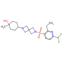 CCc1nc(C(F)F)ccc1S(=O)(=O)N1CC2(CN(C3CCC(C)(O)CC3)C2)C1